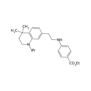 CCOC(=O)c1ccc(NCCc2ccc3c(c2)N(C(C)C)CCC3(C)C)cc1